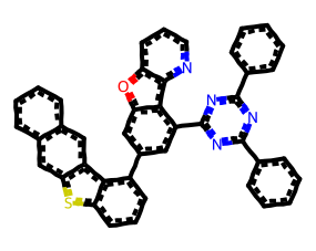 c1ccc(-c2nc(-c3ccccc3)nc(-c3cc(-c4cccc5sc6cc7ccccc7cc6c45)cc4oc5cccnc5c34)n2)cc1